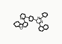 c1ccc(C2=NC(c3ccc(-c4cccnc4-c4cccc5oc6ccccc6c45)cc3)CC(c3cccc4ccccc34)=N2)cc1